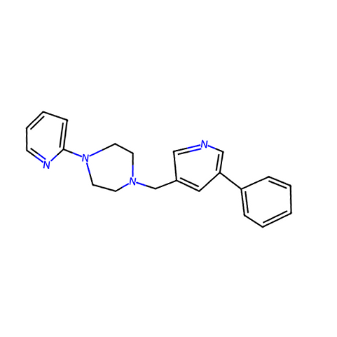 c1ccc(-c2cncc(CN3CCN(c4ccccn4)CC3)c2)cc1